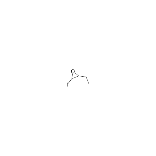 CCC1OC1I